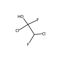 OC(F)(Cl)C(F)Cl